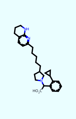 O=C(O)C(c1ccccc1C1CC1)N1CCC(CCCCCc2ccc3c(n2)NCCC3)C1